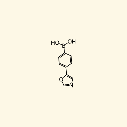 OB(O)c1ccc(-c2cnco2)cc1